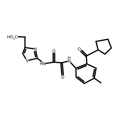 Cc1ccc(NC(=O)C(=O)Nc2nc(CC(=O)O)cs2)c(C(=O)C2CCCC2)c1